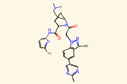 CC(=O)c1nn(CC(=O)N2C(C(=O)Nc3cccc(Br)n3)CC3(CN(C)C)CC23)c2ccc(-c3cnc(C)nc3)cc12